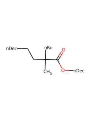 CCCCCCCCCCCCC(C)(CCCC)C(=O)OCCCCCCCCCC